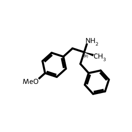 COc1ccc(C[C@](C)(N)Cc2ccccc2)cc1